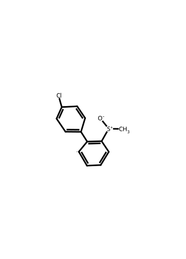 C[S+]([O-])c1ccc[c]c1-c1ccc(Cl)cc1